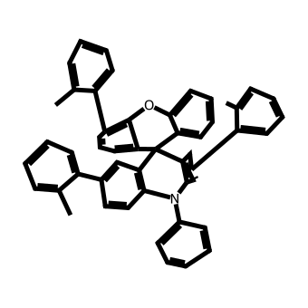 Cc1ccccc1-c1ccc2c(c1)C1(c3ccccc3Oc3c(-c4ccccc4C)cccc31)c1cc(-c3ccccc3C)ccc1N2c1ccccc1